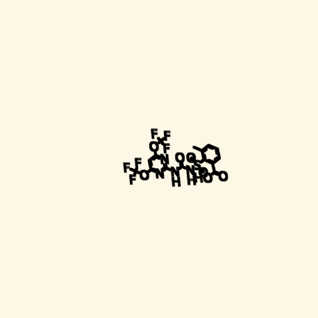 Cc1cccc(C(=O)O)c1S(=O)(=O)NC(=O)Nc1nc(OC(F)(F)F)cc(OC(F)(F)F)n1